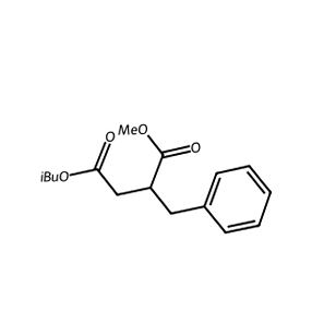 COC(=O)C(CC(=O)OCC(C)C)Cc1ccccc1